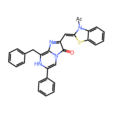 CC(=O)N1/C(=C/c2nc3c(Cc4ccccc4)[nH]c(-c4ccccc4)cn-3c2=O)Sc2ccccc21